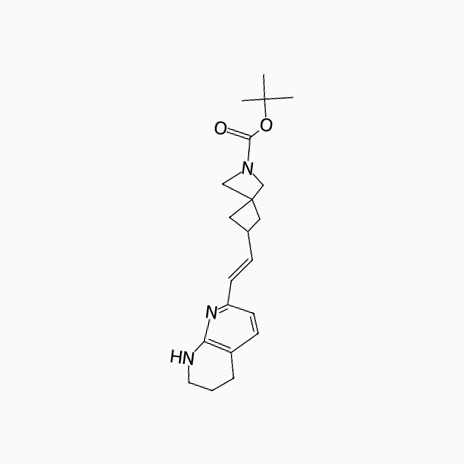 CC(C)(C)OC(=O)N1CC2(CC(/C=C/c3ccc4c(n3)NCCC4)C2)C1